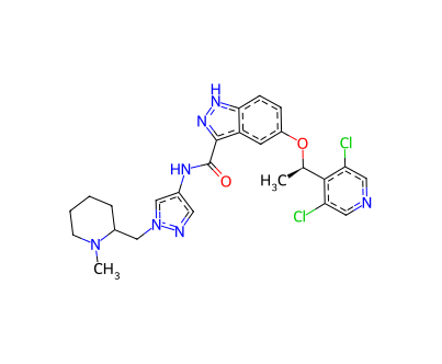 C[C@@H](Oc1ccc2[nH]nc(C(=O)Nc3cnn(CC4CCCCN4C)c3)c2c1)c1c(Cl)cncc1Cl